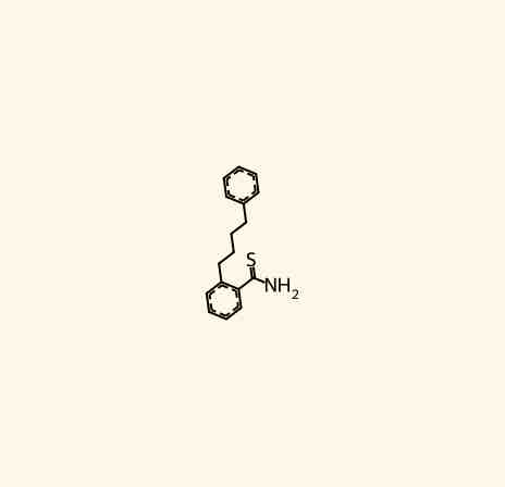 NC(=S)c1ccccc1CCCCc1ccccc1